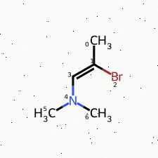 CC(Br)=CN(C)C